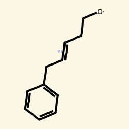 [O]CC/C=C/Cc1ccccc1